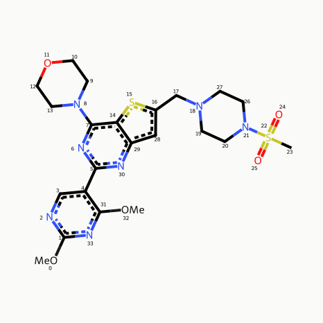 COc1ncc(-c2nc(N3CCOCC3)c3sc(CN4CCN(S(C)(=O)=O)CC4)cc3n2)c(OC)n1